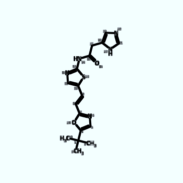 CC(C)(C)c1cnc(/C=C/c2cnc(NC(=O)Cc3cnc[nH]3)s2)o1